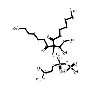 CCCCCCCCCCCCCCCC(=O)C(O)(C(=O)CCCCCCCCCCCCCCC)C(O)CO.N[C@@H](COP(=O)(O)OP(=O)(O)O)C(=O)O